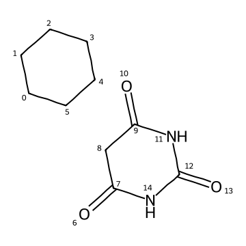 C1CCCCC1.O=C1CC(=O)NC(=O)N1